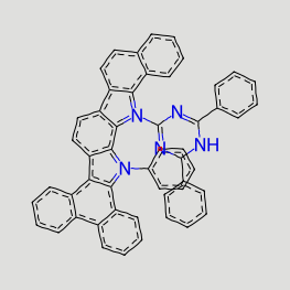 c1ccc(C2=NC(n3c4c5ccccc5ccc4c4ccc5c6c7ccccc7c7ccccc7c6n(-c6ccccc6)c5c43)=NC(c3ccccc3)N2)cc1